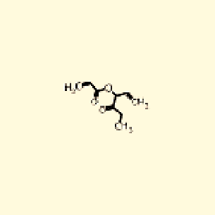 C=CC(=O)OC(C=C)C(=O)CC